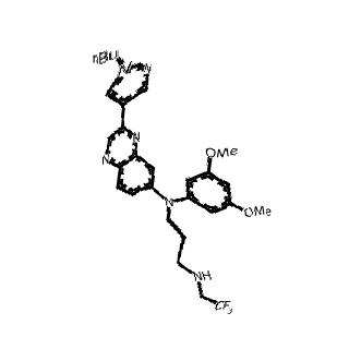 CCCCn1cc(-c2cnc3ccc(N(CCCNCC(F)(F)F)c4cc(OC)cc(OC)c4)cc3n2)cn1